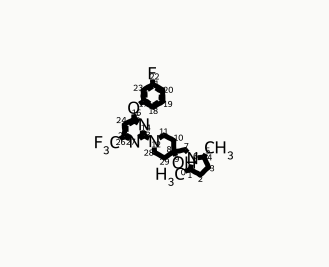 CC1CCC(C)N1CC1(O)CCN(c2nc(Oc3cccc(F)c3)cc(C(F)(F)F)n2)CC1